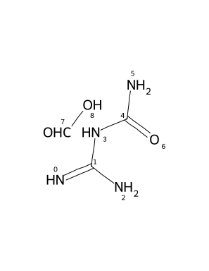 N=C(N)NC(N)=O.O=CO